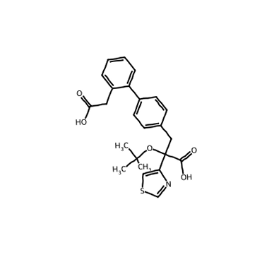 CC(C)(C)OC(Cc1ccc(-c2ccccc2CC(=O)O)cc1)(C(=O)O)c1cscn1